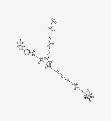 O=C(O)CCC(=O)NCCCCCC(=O)NCCCCCC(=O)N[C@@H](CCC(=O)NCCNC(=O)C1=CCN=C(NNC(=O)C(F)(F)F)C=C1)C(=O)NCCCOCCOCCOCCCNC(=O)CCCC[C@@H]1SC[C@@H]2NC(=O)N[C@@H]21